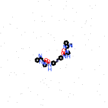 CN(C)c1cc(C(=O)N2CCC[C@H]2C(=O)Nc2ccc(/C=C/c3ccc(NC(=O)[C@@H]4CCCN4C(=O)c4cc(N(C)C)c5ccccc5n4)cc3)cc2)nc2ccccc12